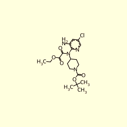 CCOC(=O)C(=O)N(c1ncc(Cl)cc1N)C1CCN(C(=O)OC(C)(C)C)CC1